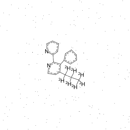 [2H]C([2H])([2H])C([2H])([2H])C([2H])([2H])c1ccnc(-c2ccccn2)c1-c1ccccc1